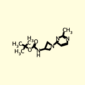 Cc1nccc(N2CC(NC(=O)OC(C)(C)C)C2)n1